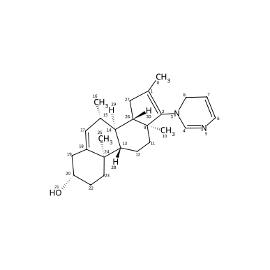 CC1=C(N2C=NC=CC2)[C@@]2(C)CC[C@H]3[C@@H]([C@@H](C)C=C4C[C@@H](O)CC[C@@]43C)[C@@H]2C1